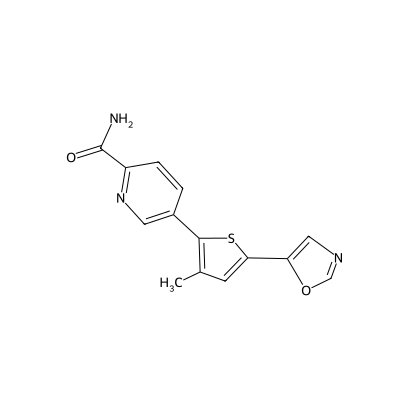 Cc1cc(-c2cnco2)sc1-c1ccc(C(N)=O)nc1